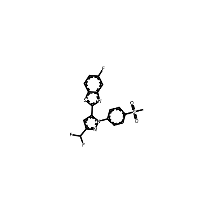 CS(=O)(=O)c1ccc(-n2nc(C(F)F)cc2-c2nc3cc(F)ccc3s2)cc1